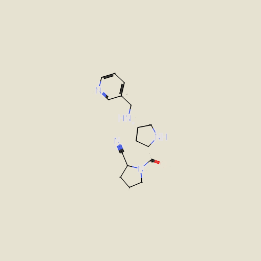 N#CC1CCCN1C(=O)[C@@H]1C[C@H](NCc2cccnc2)CN1